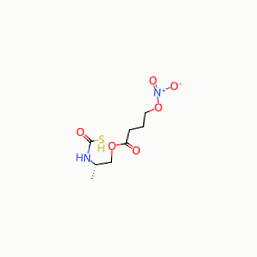 C[C@@H](COC(=O)CCCO[N+](=O)[O-])NC(=O)S